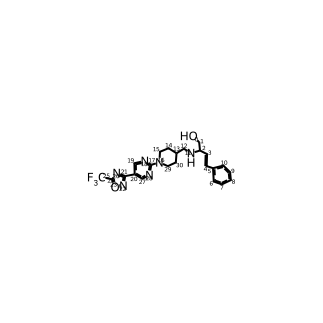 OCC(/C=C/c1ccccc1)NCC1CCN(c2ncc(-c3noc(C(F)(F)F)n3)cn2)CC1